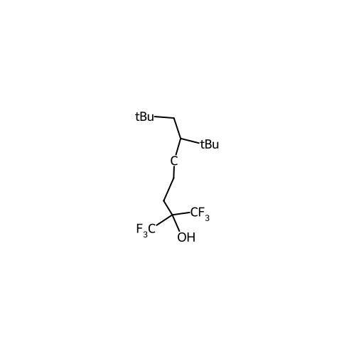 CC(C)(C)CC(CCCC(O)(C(F)(F)F)C(F)(F)F)C(C)(C)C